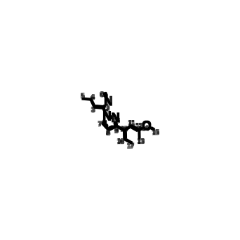 C=N/C(=C\CC)n1ccc(C(/C=C(\C)OC)=C/C)n1